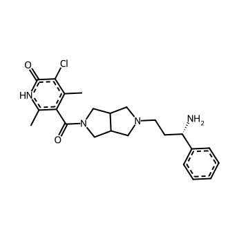 Cc1[nH]c(=O)c(Cl)c(C)c1C(=O)N1CC2CN(CC[C@H](N)c3ccccc3)CC2C1